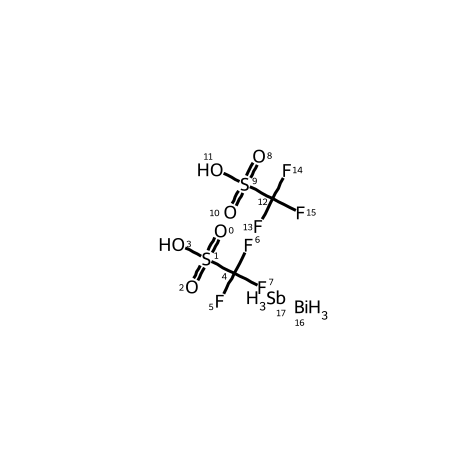 O=S(=O)(O)C(F)(F)F.O=S(=O)(O)C(F)(F)F.[BiH3].[SbH3]